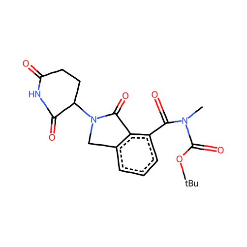 CN(C(=O)OC(C)(C)C)C(=O)c1cccc2c1C(=O)N(C1CCC(=O)NC1=O)C2